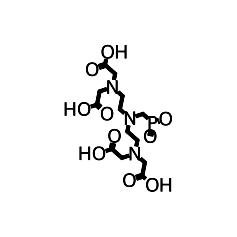 O=C(O)CN(CCN(CCN(CC(=O)O)CC(=O)O)CP(=O)=O)CC(=O)O